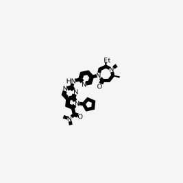 CC[C@@H]1CN(c2ccc(Nc3ncc4cc(C(=O)N(C)C)n(C5CCCC5)c4n3)nc2)C(=O)C[C@H](C)N1C